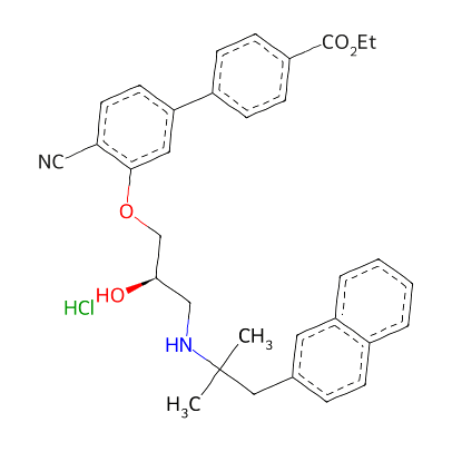 CCOC(=O)c1ccc(-c2ccc(C#N)c(OC[C@H](O)CNC(C)(C)Cc3ccc4ccccc4c3)c2)cc1.Cl